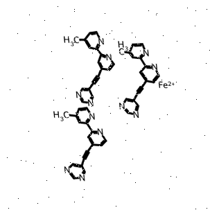 Cc1ccnc(-c2cc(C#Cc3cncnc3)ccn2)c1.Cc1ccnc(-c2cc(C#Cc3cncnc3)ccn2)c1.Cc1ccnc(-c2cc(C#Cc3cncnc3)ccn2)c1.[Fe+2]